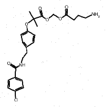 CC(C)(Oc1ccc(CCNC(=O)c2ccc(Cl)cc2)cc1)C(=O)OCOC(=O)CCCN